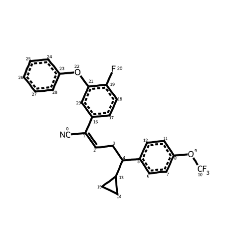 N#CC(=CCC(c1ccc(OC(F)(F)F)cc1)C1CC1)c1ccc(F)c(Oc2ccccc2)c1